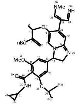 C=C(CCCC)C(C)OC1=CN2C(=NCC2c2cc(OC)c(C(=O)NC3CC3)c(OC(F)F)c2)C=C1/C(C=N)=C/NC